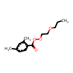 CCCOC[CH]OOC(=O)c1ccc(C)cc1C